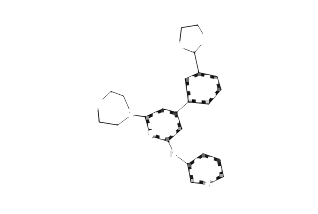 c1cncc(Nc2cc(-c3cccc(C4OCCO4)c3)cc(N3CCOCC3)n2)c1